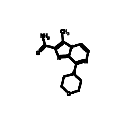 Cc1c(C(N)=O)nc2c(N3CCOCC3)nccn12